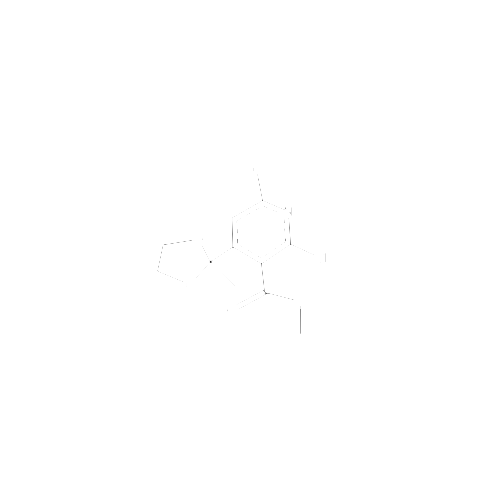 COC(=O)c1c(C2(C)OCCO2)cc(Cl)nc1Cl